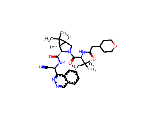 CC(C)(C)[C@H](NC(=O)CC1CCOCC1)C(=O)N1C[C@H]2[C@@H]([C@H]1C(=O)NC(C#N)c1nncc3ccccc13)C2(C)C